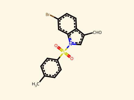 Cc1ccc(S(=O)(=O)n2cc(C=O)c3ccc(Br)cc32)cc1